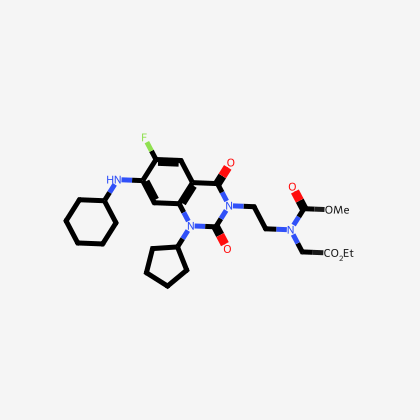 CCOC(=O)CN(CCn1c(=O)c2cc(F)c(NC3CCCCC3)cc2n(C2CCCC2)c1=O)C(=O)OC